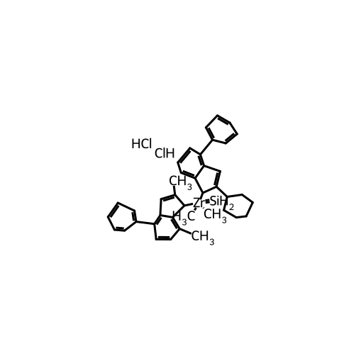 CC1=Cc2c(-c3ccccc3)ccc(C)c2[CH]1[Zr]([CH3])([CH3])(=[SiH2])[CH]1C(C2CCCCC2)=Cc2c(-c3ccccc3)cccc21.Cl.Cl